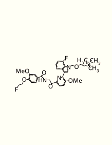 COc1cc(C(=O)NCC(=O)c2ccc(OC)c(-c3cn(COCC[Si](C)(C)C)c4c(F)cccc34)n2)ccc1OCCF